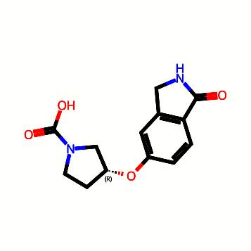 O=C1NCc2cc(O[C@@H]3CCN(C(=O)O)C3)ccc21